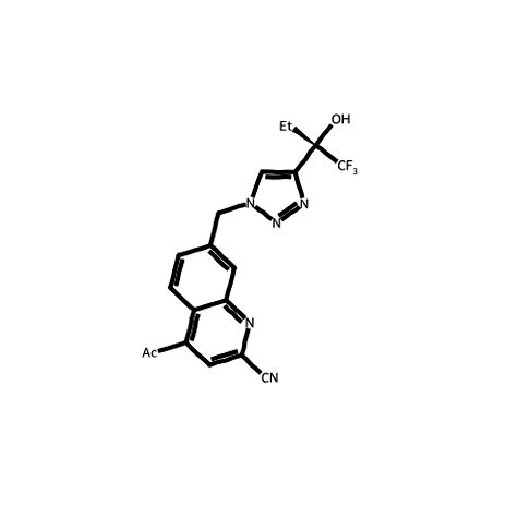 CC[C@](O)(c1cn(Cc2ccc3c(C(C)=O)cc(C#N)nc3c2)nn1)C(F)(F)F